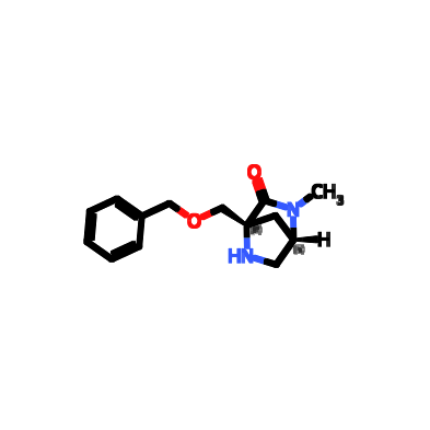 CN1C(=O)[C@]2(COCc3ccccc3)C[C@H]1CN2